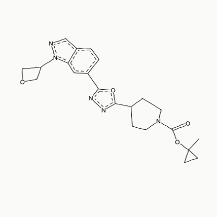 CC1(OC(=O)N2CCC(c3nnc(-c4ccc5cnn(C6COC6)c5c4)o3)CC2)CC1